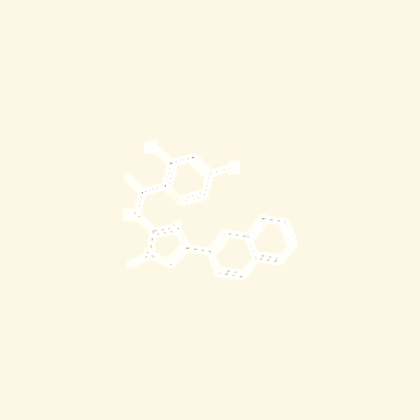 CC(Nc1nc(-c2ccc3ccccc3c2)cn1C)c1ccc(Cl)cc1Cl